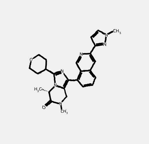 C[C@H]1C(=O)N(C)Cc2c(-c3cccc4cc(-c5ccn(C)n5)ncc34)nc(C3CCOCC3)n21